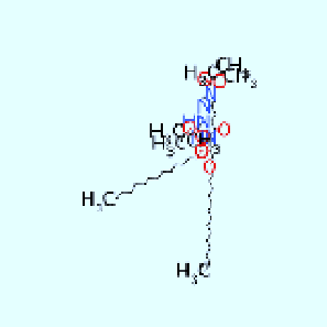 CCCCCCCCCCCCCCOCC(CNC(=O)C(Cc1cn(C(=O)OC(C)(C)C)cn1)NC(=O)OC(C)(C)C)OCCCCCCCCCCCCCC